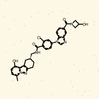 Cc1ccc(O)c2c3c(nn12)CC[C@H](CNC(=O)c1ccc(-n2cnc4cc(C(=O)N5CC(O)C5)ccc42)cc1Cl)C3